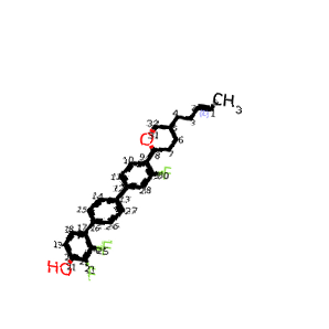 C/C=C/CCC1CCC(c2ccc(-c3ccc(-c4ccc(O)c(F)c4F)cc3)cc2F)OC1